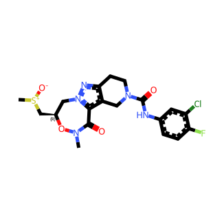 CN1O[C@@H](C[S+](C)[O-])Cn2nc3c(c2C1=O)CN(C(=O)Nc1ccc(F)c(Cl)c1)CC3